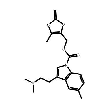 C=C1OC(C)=C(COC(=O)n2cc(CCN(C)C)c3cc(C)ccc32)O1